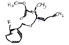 C=C/C=C(/OCc1ccccc1F)N(C)C(=O)OC